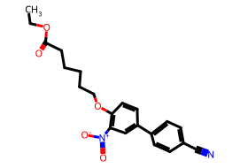 CCOC(=O)CCCCCOc1ccc(-c2ccc(C#N)cc2)cc1[N+](=O)[O-]